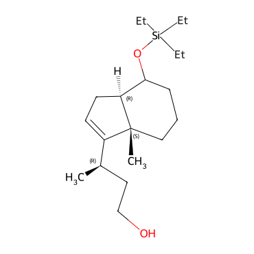 CC[Si](CC)(CC)OC1CCC[C@]2(C)C([C@H](C)CCO)=CC[C@@H]12